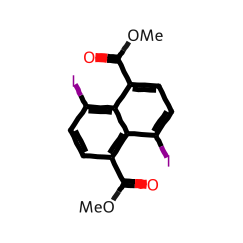 COC(=O)c1ccc(I)c2c(C(=O)OC)ccc(I)c12